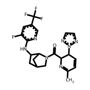 CC1=NC(C(=O)N2CC3CC(Nc4ncc(C(F)(F)F)cc4F)C2C3)C(n2nccn2)C=C1